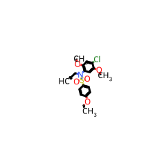 C#CCN(c1cc(OC)c(Cl)cc1OC)S(=O)(=O)c1ccc(OCC)cc1